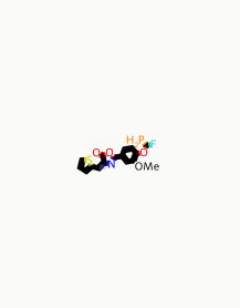 COc1cc(C2=N/C(=C/c3cccs3)C(=O)O2)ccc1OC(F)P